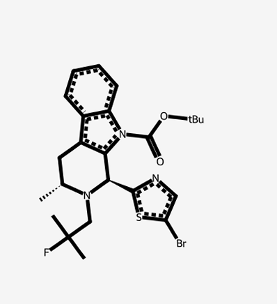 C[C@@H]1Cc2c(n(C(=O)OC(C)(C)C)c3ccccc23)[C@@H](c2ncc(Br)s2)N1CC(C)(C)F